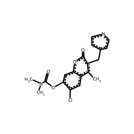 Cc1c(Cc2ccncc2)c(=O)oc2cc(OC(=O)N(C)C)c(Cl)cc12